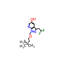 C[Si](C)(C)CCOCn1nc(CC(F)F)c2cc(O)cnc21